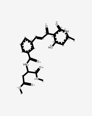 COC(=O)CC(NC(=O)c1cccc(/C=C/C(=O)c2c(O)cc(C)[nH]c2=O)c1)C(=O)OC